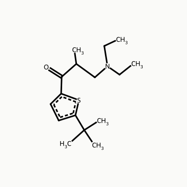 CCN(CC)CC(C)C(=O)c1ccc(C(C)(C)C)s1